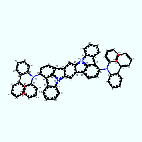 C1=C=C(N(c2ccccc2C2=CC=CCC2)c2ccc3c4cc5c(cc4n4c6ccccc6c2c34)c2ccc(N(c3ccccc3)c3ccccc3-c3ccccc3)c3c4ccccc4n5c23)C=CC=1